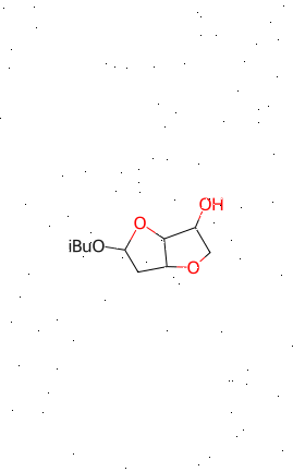 CC(C)COC1CC2OCC(O)C2O1